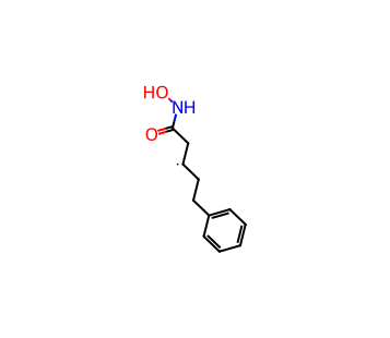 O=C(C[CH]CCc1ccccc1)NO